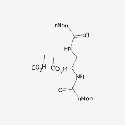 CC(=O)O.CC(=O)O.CCCCCCCCCC(=O)NCCNC(=O)CCCCCCCCC